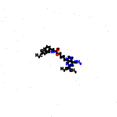 CC(C)Cc1cccc(CNC(=O)OCCCCn2cnc3c(N)nc(N(C)C)nc32)c1